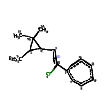 CCOC(=O)C1C(/C=C(\Cl)c2ccccc2)C1(C)C